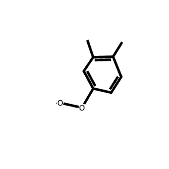 Cc1ccc(O[O])cc1C